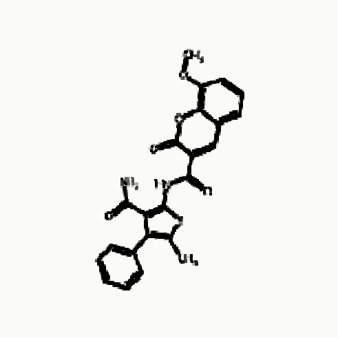 COc1cccc2cc(C(=O)Nc3sc(C)c(-c4ccccc4)c3C(N)=O)c(=O)oc12